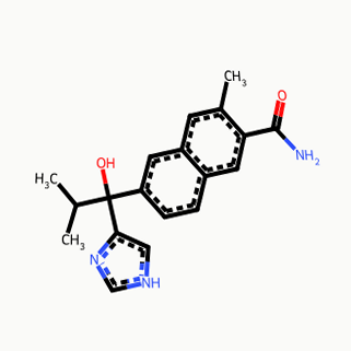 Cc1cc2cc(C(O)(c3c[nH]cn3)C(C)C)ccc2cc1C(N)=O